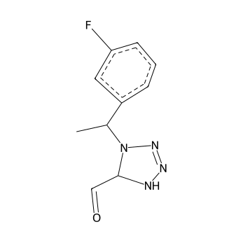 CC(c1cccc(F)c1)N1N=NNC1C=O